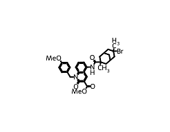 COC(=O)c1cc2c(NC(=O)C3(C)CC4CC(CC(C)(Br)C4)C3)cccc2n(Cc2ccc(OC)cc2)c1=O